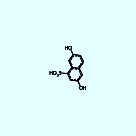 O=S(=O)(O)c1cc(O)cc2ccc(O)cc12